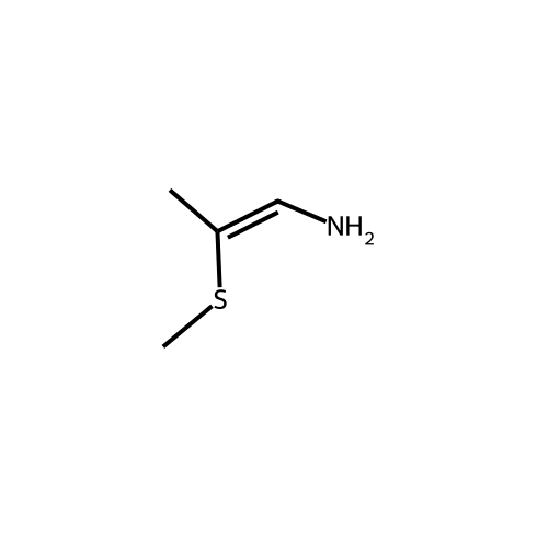 CS/C(C)=C\N